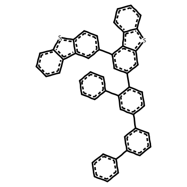 c1ccc(-c2cccc(-c3ccc(-c4cc(-c5ccc6sc7ccccc7c6c5)c5c(c4)sc4ccccc45)c(-c4ccccc4)c3)c2)cc1